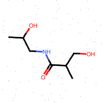 CC(O)CNC(=O)C(C)CO